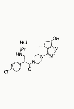 CC(C)NCC(C(=O)N1CCN(c2ncnc3c2[C@H](C)C[C@H]3O)CC1)c1ccc(Cl)cc1.Cl